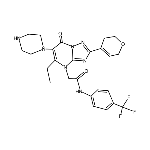 CCc1c(N2CCNCC2)c(=O)n2nc(C3=CCOCC3)nc2n1CC(=O)Nc1ccc(C(F)(F)F)cc1